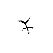 F[C](=[Ru])C(F)(F)F